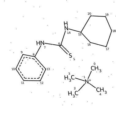 C[N+](C)(C)C.S=C(Nc1ccccc1)NC1CCCCC1